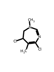 CC1=C(Cl)N=CN(C)CC1Cl